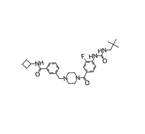 CC(C)(C)CNC(=O)Nc1ccc(C(=O)N2CCN(Cc3cccc(C(=O)NC4CCC4)c3)CC2)cc1F